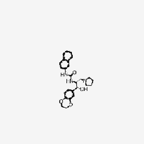 O=C(Nc1ccc2ccccc2c1)N[C@H](CN1CCCC1)[C@H](O)c1ccc2c(c1)OCCO2